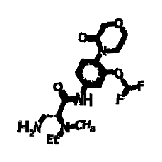 CCN(C)[C@H](CN)C(=O)Nc1ccc(N2CCOCC2=O)c(OC(F)F)c1